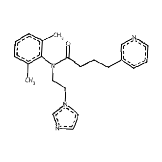 Cc1cccc(C)c1N(CCn1ccnc1)C(=O)CCCc1cccnc1